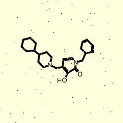 O=c1c(O)c(CN2CCC(C3CCCCC3)CC2)ccn1CC1C=CC=CC1